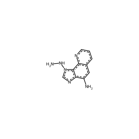 NNn1cnc2c(N)cc3cccnc3c21